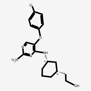 Nc1ncc(Oc2ccc(Cl)cc2)c(N[C@H]2CCC[C@@H](CCO)C2)n1